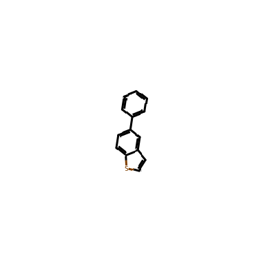 [c]1cc2cc(-c3ccccc3)ccc2s1